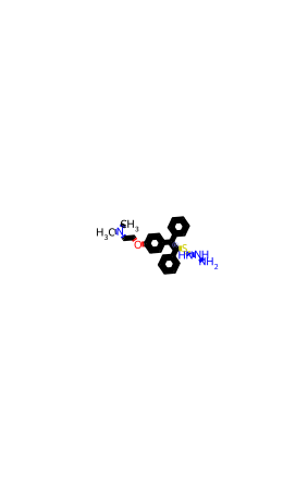 CN(C)CCOc1ccc(/C(=C(/SNNN)c2ccccc2)c2ccccc2)cc1